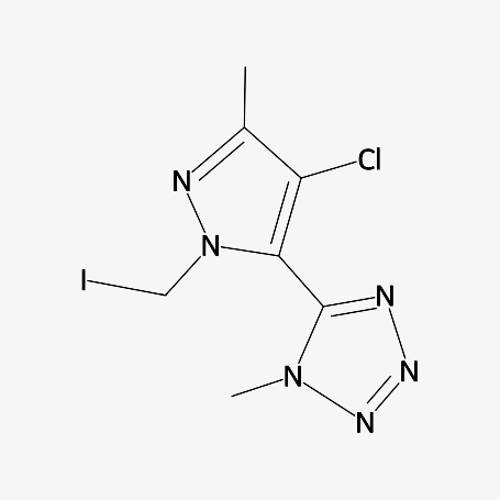 Cc1nn(CI)c(-c2nnnn2C)c1Cl